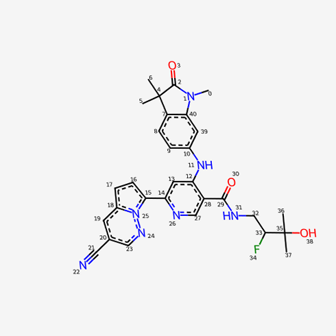 CN1C(=O)C(C)(C)c2ccc(Nc3cc(-c4ccc5cc(C#N)cnn45)ncc3C(=O)NCC(F)C(C)(C)O)cc21